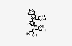 O=C(c1cncc(C(=O)N(CC(CO)CO)CC(CO)CO)c1)N(CC(CO)CO)CC(CO)CO